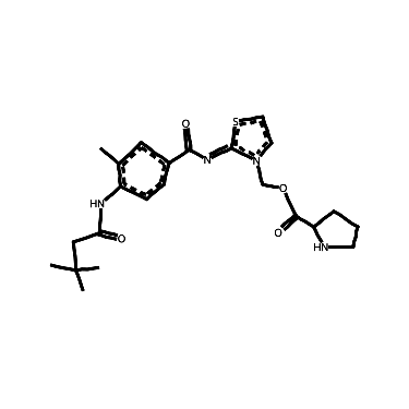 Cc1cc(C(=O)N=c2sccn2COC(=O)C2CCCN2)ccc1NC(=O)CC(C)(C)C